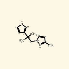 CC(C)(C)c1ccn(CC(C)(C)c2ccoc2)n1